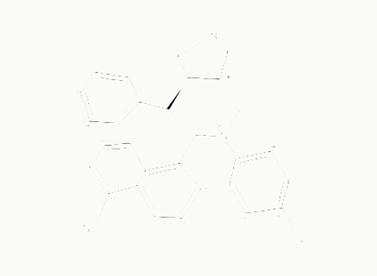 N#Cc1cccc2c(CN(C[C@H]3CNC[C@@H]3Cc3ccccc3)c3ccc(Cl)cc3)cccc12